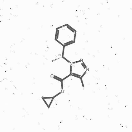 C[C@H](c1ccccc1)n1nnc(I)c1C(=O)OC1CC1